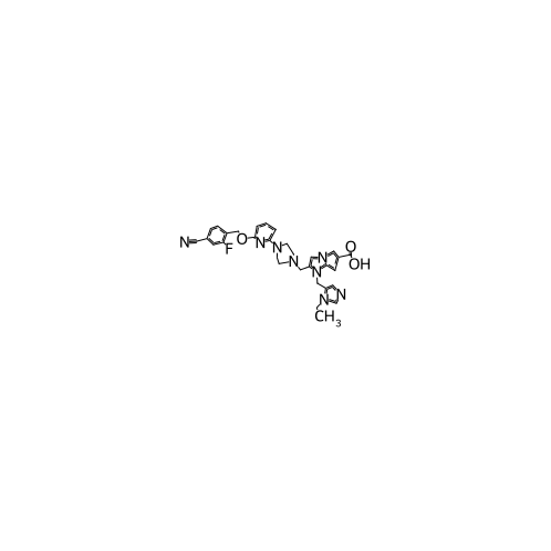 CCn1cncc1Cn1c(CN2CCN(c3cccc(OCc4ccc(C#N)cc4F)n3)CC2)cn2cc(C(=O)O)cc12